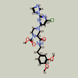 COC(=O)N1CCN(c2cc(Cl)nc(-n3ccnc3)n2)CC1C(=O)NCCc1ccc(OC)c(OC)c1